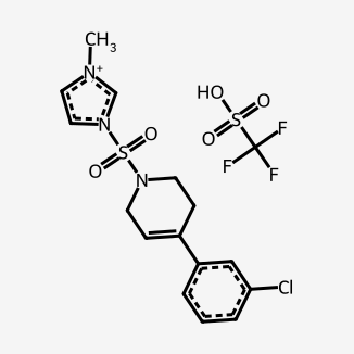 C[n+]1ccn(S(=O)(=O)N2CC=C(c3cccc(Cl)c3)CC2)c1.O=S(=O)(O)C(F)(F)F